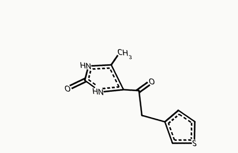 Cc1[nH]c(=O)[nH]c1C(=O)Cc1ccsc1